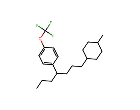 CCCC(CCCC1CCC(C)CC1)c1ccc(OC(F)(F)F)cc1